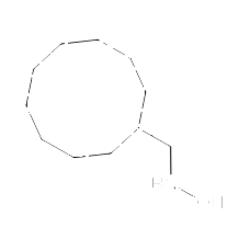 ONCC1CCCCCCCCC1